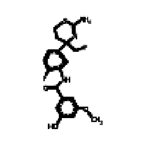 COc1cc(O)cc(C(=O)Nc2cc(C3(CF)CCSC(N)=N3)ccc2F)c1